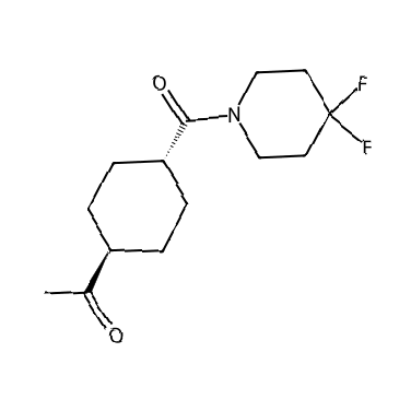 CC(=O)[C@H]1CC[C@H](C(=O)N2CCC(F)(F)CC2)CC1